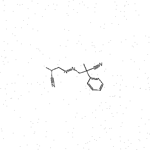 CC(C#N)CN=NCC(C)(C#N)c1ccccc1